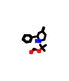 C=C1CCNC(c2ccccc2)C1.CC(C)(C)OC=O